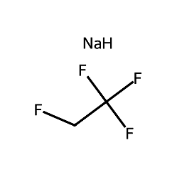 FCC(F)(F)F.[NaH]